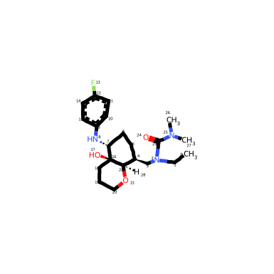 CCN(C[C@@H]1CC[C@@H](Nc2ccc(F)cc2)[C@@]2(O)CCCO[C@H]12)C(=O)N(C)C